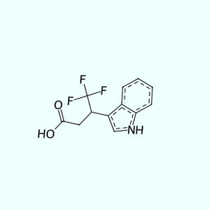 O=C(O)CC(c1c[nH]c2ccccc12)C(F)(F)F